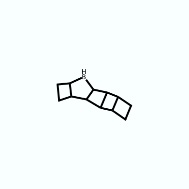 B1C2CCC2C2C1C1C3CCC3C21